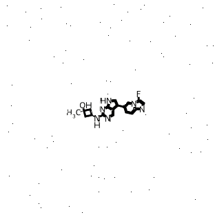 C[C@]1(O)C[C@@H](Nc2ncc3c(-c4ccc5ncc(F)n5c4)c[nH]c3n2)C1